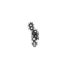 C[C@]12CC[C@H](N3CCOCC3)C[C@@H]1CC[C@@H]1[C@@H]2CC[C@]2(C)C(c3ccc4ccncc4c3)=CC[C@@H]12